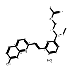 CC[C@@H](SCOC(C)=O)c1cccc(C=Cc2ccc3ccc(Cl)cc3n2)c1.Cl